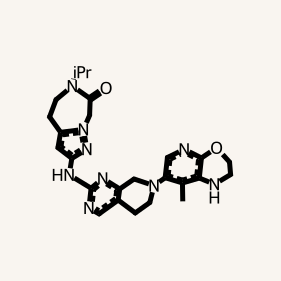 Cc1c(N2CCc3cnc(Nc4cc5n(n4)CC(=O)N(C(C)C)CC5)nc3C2)cnc2c1NCCO2